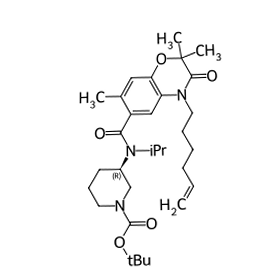 C=CCCCCN1C(=O)C(C)(C)Oc2cc(C)c(C(=O)N(C(C)C)[C@@H]3CCCN(C(=O)OC(C)(C)C)C3)cc21